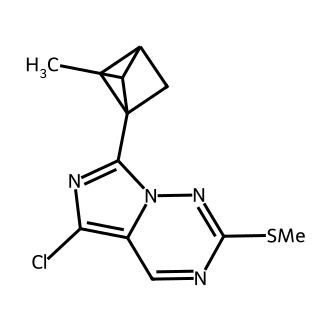 CSc1ncc2c(Cl)nc(C34CC(C3)C4C)n2n1